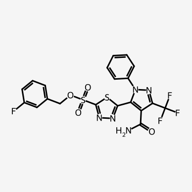 NC(=O)c1c(C(F)(F)F)nn(-c2ccccc2)c1-c1nnc(S(=O)(=O)OCc2cccc(F)c2)s1